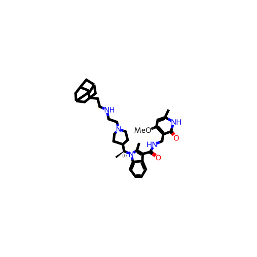 COc1cc(C)[nH]c(=O)c1CNC(=O)c1c(C)n([C@@H](C)C2CCN(CCNCCC34CC5CC(CC(C5)C3)C4)CC2)c2ccccc12